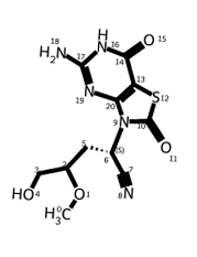 COC(CO)C[C@@H](C#N)n1c(=O)sc2c(=O)[nH]c(N)nc21